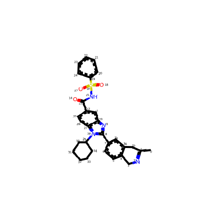 CC1=NCc2ccc(-c3nc4cc(C(=O)NS(=O)(=O)c5ccccc5)ccc4n3C3CCCCC3)cc2C1